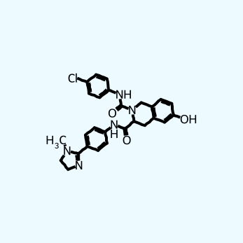 CN1CCN=C1c1ccc(NC(=O)C2Cc3cc(O)ccc3CN2C(=O)Nc2ccc(Cl)cc2)cc1